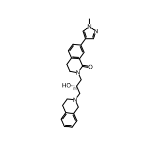 Cn1cc(-c2ccc3c(c2)C(=O)N(C[C@@H](O)CN2CCc4ccccc4C2)CC3)cn1